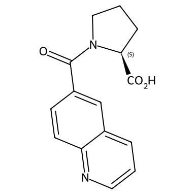 O=C(O)[C@@H]1CCCN1C(=O)c1ccc2ncccc2c1